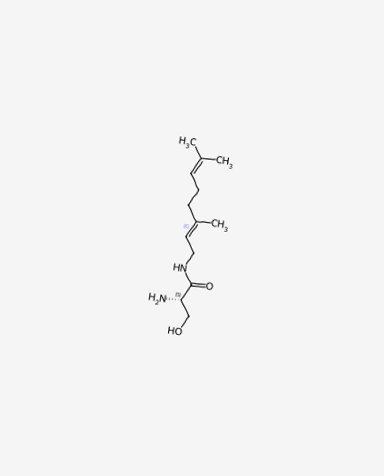 CC(C)=CCC/C(C)=C/CNC(=O)[C@@H](N)CO